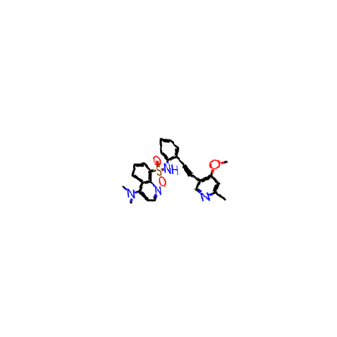 COc1cc(C)ncc1C#Cc1ccccc1NS(=O)(=O)c1cccc2c(N(C)C)ccnc12